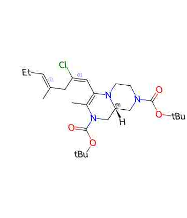 CC/C=C(\C)C/C(Cl)=C\C1=C(C)N(C(=O)OC(C)(C)C)C[C@H]2CN(C(=O)OC(C)(C)C)CCN12